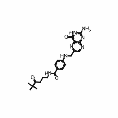 CC(C)(C)C(=O)CCCNC(=O)c1ccc(NCc2cnc3nc(N)[nH]c(=O)c3n2)cc1